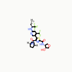 CC[C@H](Nc1cc(C(F)F)c(-c2sc(C(=O)N[C@@H]3COC[C@H]3O)nc2C(=O)N2[C@H]3CC[C@H]2CC3)cn1)C(F)(F)F